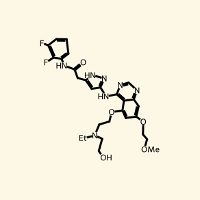 CCN(CCO)CCOc1cc(OCCOC)cc2ncnc(Nc3cc(CC(=O)Nc4cccc(F)c4F)[nH]n3)c12